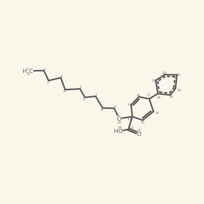 CCCCCCCCCCOC1(C(=O)O)C=CC(c2ccccc2)C=C1